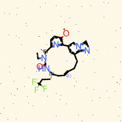 CCN1C(=O)N[C@@H](CCC(F)(F)F)C/C=C/CCc2cc(cn3ccnc23)-c2nc(ccc2OC)[C@H]1C